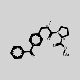 C[C@@H](Cc1ccc(C(=O)c2ccccc2)cc1)C(=O)N1CCC[C@H]1C(=O)OC(C)(C)C